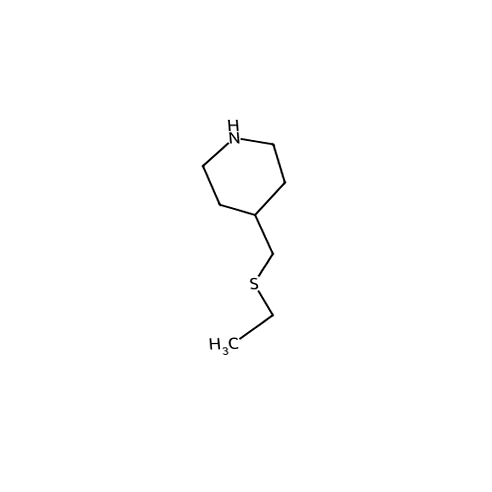 CCSCC1CCNCC1